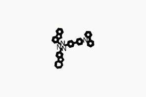 C1=CCC2=C(C=C1)c1ccc(-c3nc(-c4ccc(-c5ccc(-n6c7ccccc7c7ccccc76)cc5)cc4)nc(-c4cccc5c4Cc4ccccc4-5)n3)cc1C2